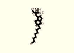 CCCCCCCCc1ccc2c(c1)CCC2CC(C)(N)CC